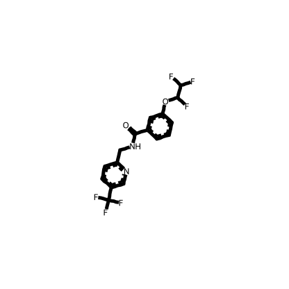 O=C(NCc1ccc(C(F)(F)F)cn1)c1cccc(OC(F)C(F)F)c1